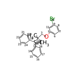 CC(C)(COc1cccc(Br)c1)[SiH](c1ccccc1)c1ccccc1